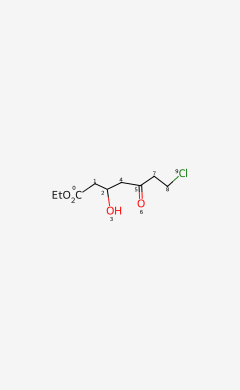 CCOC(=O)CC(O)CC(=O)CCCl